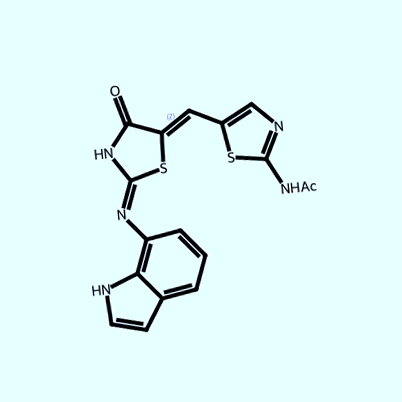 CC(=O)Nc1ncc(/C=C2\SC(=Nc3cccc4cc[nH]c34)NC2=O)s1